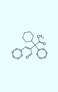 CC(=O)C(C([C]=O)=Cc1ccccc1)(c1ccccc1)C1CCCCC1